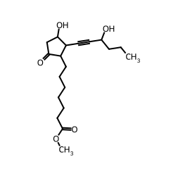 CCCC(O)C#CC1C(O)CC(=O)C1CCCCCCC(=O)OC